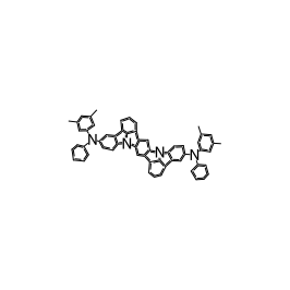 Cc1cc(C)cc(N(c2ccccc2)c2ccc3c(c2)c2cccc4c5cc6c(cc5n3c24)c2cccc3c4cc(N(c5ccccc5)c5cc(C)cc(C)c5)ccc4n6c32)c1